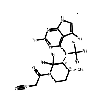 [2H]c1nc(N([C@@H]2[C@H](C)CCN(C(=O)C[N+]#[C-])C2([2H])[2H])C([2H])([2H])[2H])c2c([2H])c[nH]c2n1